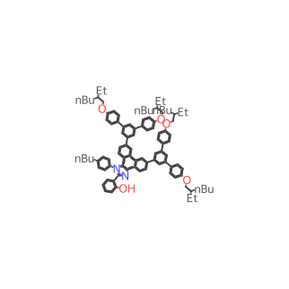 CCCCc1ccc(-n2c(-c3ccccc3O)nc3c4ccc(-c5cc(-c6ccc(OCC(CC)CCCC)cc6)cc(-c6ccc(OCC(CC)CCCC)cc6)c5)cc4c4cc(-c5cc(-c6ccc(OCC(CC)CCCC)cc6)cc(-c6ccc(OCC(CC)CCCC)cc6)c5)ccc4c32)cc1